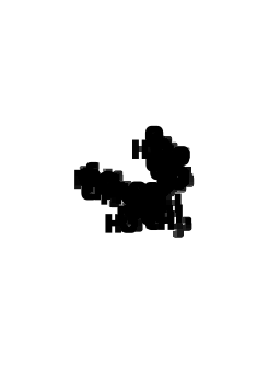 Cc1ncsc1-c1ccc(CNC(=O)[C@@H]2C[C@@H](O)CN2C(=O)C(NC(=O)COc2cccc3c2C(=O)N(C2CCC(=O)NC2=O)C3=O)C(C)(C)C)cc1